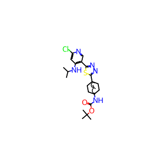 CC(C)Nc1cc(Cl)ncc1-c1nnc(C23CCC(NC(=O)OC(C)(C)C)(CC2)CC3)s1